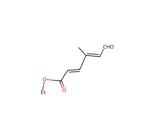 CCOC(=O)/C=C/C(C)=C/C=O